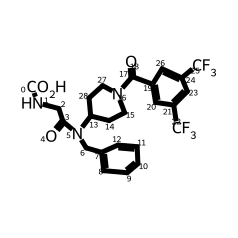 O=C(O)NCC(=O)N(Cc1ccccc1)C1CCN(C(=O)c2cc(C(F)(F)F)cc(C(F)(F)F)c2)CC1